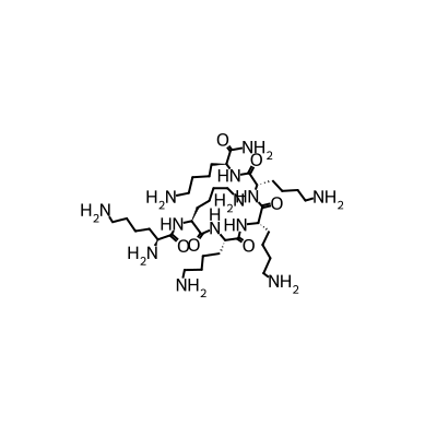 NCCCC[C@H](NC(=O)[C@H](CCCCN)NC(=O)[C@H](CCCCN)NC(=O)[C@H](CCCCN)NC(=O)[C@H](CCCCN)NC(=O)[C@@H](N)CCCCN)C(N)=O